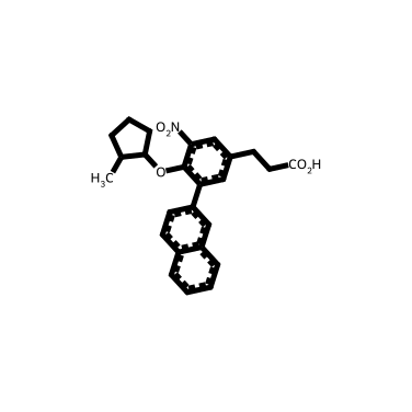 CC1CCCC1Oc1c(-c2ccc3ccccc3c2)cc(CCC(=O)O)cc1[N+](=O)[O-]